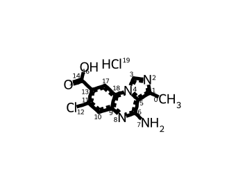 Cc1ncn2c1c(N)nc1cc(Cl)c(C(=O)O)cc12.Cl